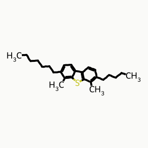 CCCCCCCc1ccc2c(sc3c(C)c(CCCCC)ccc32)c1C